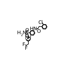 NS(=O)(=O)c1cc(NC(=O)Cc2ccccc2Cl)ccc1-n1cc(CC(F)F)cn1